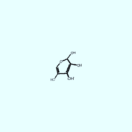 OC1=COC(O)C(O)=C1O